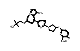 COc1nc(OC2CCN(c3ccc(-c4cc(OCC(C)(C)O)cn5ncc(C#N)c45)cn3)C2)ccc1F